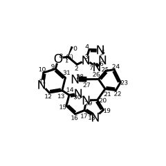 C[C@@H](Cn1cnnn1)Oc1cncc(-c2ccc3ncc(-c4ccccc4C#N)n3n2)c1